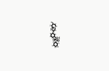 Cc1ccn2cc(-c3cccc(NS(=O)(=O)c4ccccc4)c3)nc2c1